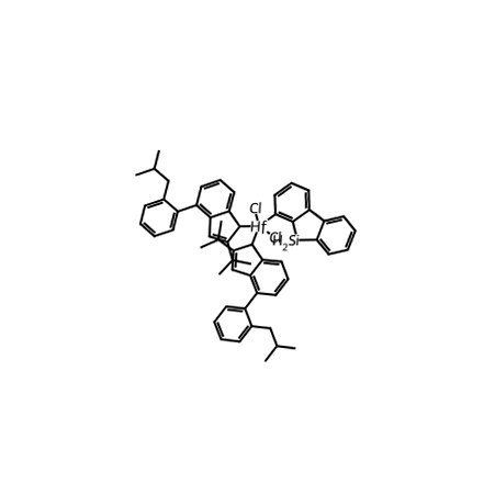 CC(C)Cc1ccccc1-c1cccc2c1C=C(C(C)C)[CH]2[Hf]([Cl])([Cl])([c]1cccc2c1[SiH2]c1ccccc1-2)[CH]1C(C(C)C)=Cc2c(-c3ccccc3CC(C)C)cccc21